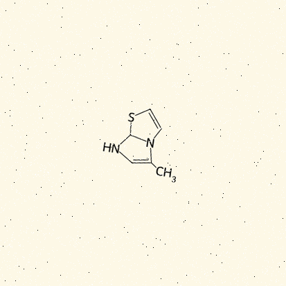 CC1=CNC2SC=CN12